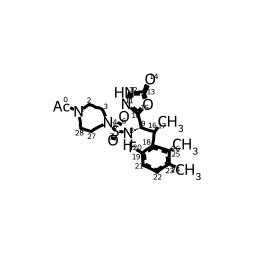 CC(=O)N1CCN(S(=O)(=O)N[C@H](c2n[nH]c(=O)o2)C(C)c2c(F)ccc(C)c2C)CC1